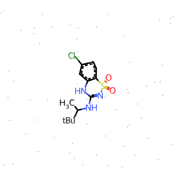 CC(NC1=NS(=O)(=O)c2ccc(Cl)cc2N1)C(C)(C)C